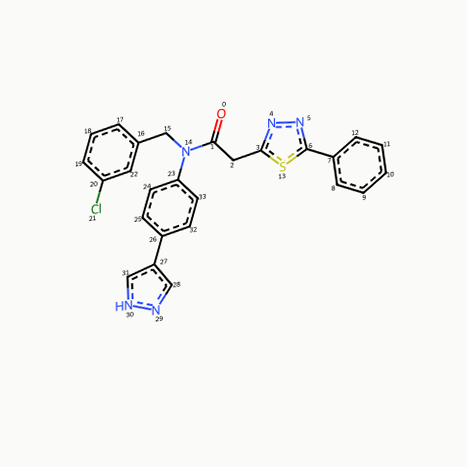 O=C(Cc1nnc(-c2ccccc2)s1)N(Cc1cccc(Cl)c1)c1ccc(-c2cn[nH]c2)cc1